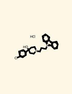 Cl.OC1(c2ccc(Cl)cc2)CCN(CCCn2c3ccccc3c3ccccc32)CC1